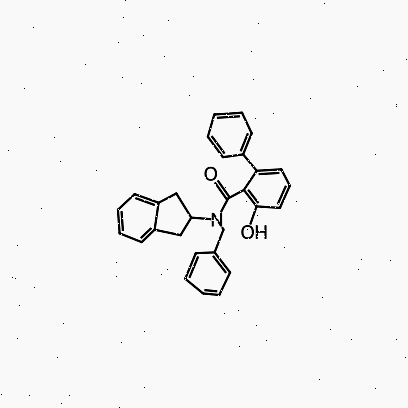 O=C(c1c(O)cccc1-c1ccccc1)N(Cc1ccccc1)C1Cc2ccccc2C1